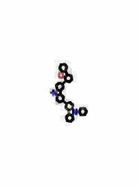 Cn1c2ccc(C3=CC4c5ccccc5N(c5ccccc5)C4C=C3)cc2c2cc(-c3cccc4c3oc3ccccc34)ccc21